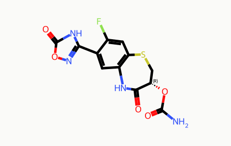 NC(=O)O[C@H]1CSc2cc(F)c(-c3noc(=O)[nH]3)cc2NC1=O